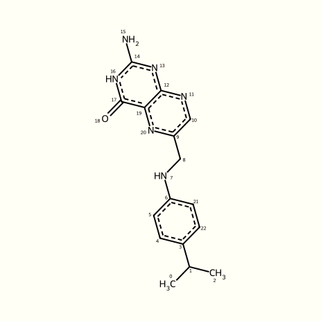 CC(C)c1ccc(NCc2cnc3nc(N)[nH]c(=O)c3n2)cc1